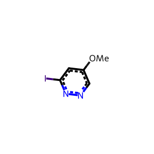 COc1cnnc(I)c1